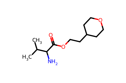 CC(C)C(N)C(=O)OCCC1CCOCC1